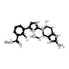 COC(=O)c1cccc(-c2cnc(N3[C@H](C)Cc4nc(N)sc4[C@@H]3CO)o2)c1F